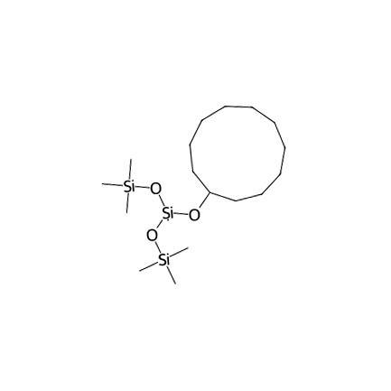 C[Si](C)(C)O[Si](OC1CCCCCCCCCC1)O[Si](C)(C)C